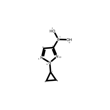 OB(O)c1cnn(C2CC2)n1